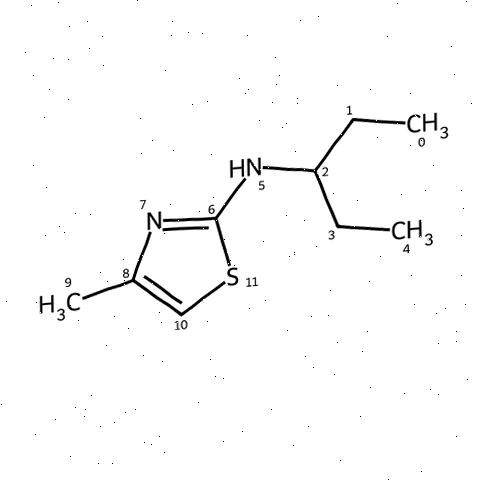 CCC(CC)Nc1nc(C)cs1